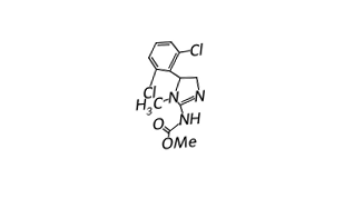 COC(=O)NC1=NCC(c2c(Cl)cccc2Cl)N1C